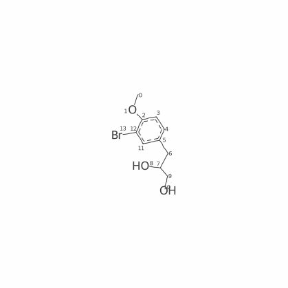 COc1ccc(CC(O)CO)cc1Br